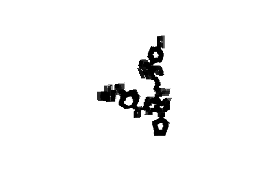 Cl.Cl.NC1CCC(Nc2nc(NCCNS(=O)(=O)c3ccc(Cl)cc3)c3ncn(C4CCCC4)c3n2)CC1